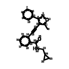 Cc1onc(-c2ccccc2)c1C#Cc1ccccc1C(=O)NCC1CC1